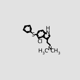 CN(C)CCc1c[nH]c2ccc(Sc3ccccc3)c(Cl)c12